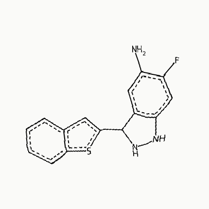 Nc1cc2c(cc1F)NNC2c1cc2ccccc2s1